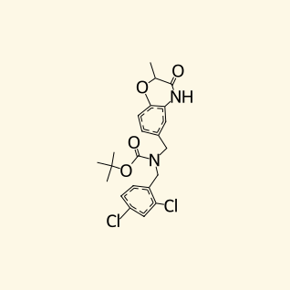 CC1Oc2ccc(CN(Cc3ccc(Cl)cc3Cl)C(=O)OC(C)(C)C)cc2NC1=O